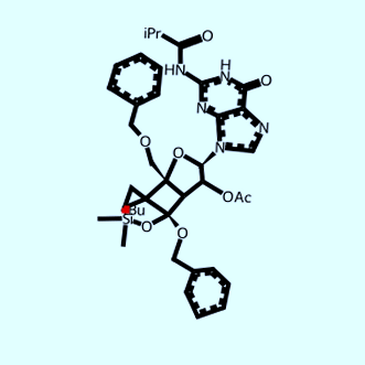 CC(=O)OC1C2[C@](OCc3ccccc3)(O[Si](C)(C)C(C)(C)C)C3(CC3)[C@]2(COCc2ccccc2)O[C@H]1n1cnc2c(=O)[nH]c(NC(=O)C(C)C)nc21